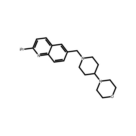 CC(C)c1ccc2cc(CN3CCC(N4CCOCC4)CC3)ccc2n1